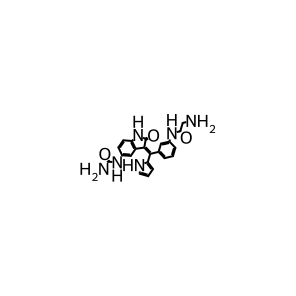 NCC(=O)Nc1cccc(C(=C2C(=O)Nc3ccc(NC(N)=O)cc32)c2ccc[nH]2)c1